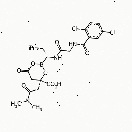 CC(C)C[C@H](NC(=O)CNC(=O)c1cc(Cl)ccc1Cl)B1OC(=O)CC(CC(=O)N(C)C)(C(=O)O)O1